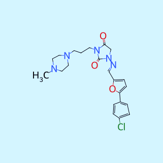 CN1CCN(CCCN2C(=O)CN(N=Cc3ccc(-c4ccc(Cl)cc4)o3)C2=O)CC1